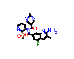 Cc1ncc(C(=O)N(Cc2cc(F)c3cc(C)c(N)nc3c2)c2cccnc2S(C)(=O)=O)cn1